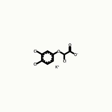 O=C([O-])C(Cl)Oc1ccc(Cl)c(Cl)c1.[K+]